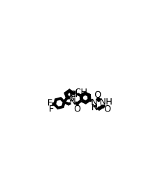 Cc1ccc(C2(CNC(=O)c3cc(-n4ncc(=O)[nH]c4=O)ccc3Cl)CCC(F)(F)CC2)s1